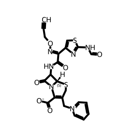 C#CCON=C(C(=O)NC1C(=O)N2C(C(=O)[O-])=C(C[n+]3ccccc3)CS[C@@H]12)c1csc(NC=O)n1